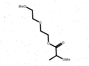 COCCOCCOC(=O)C(C)OC